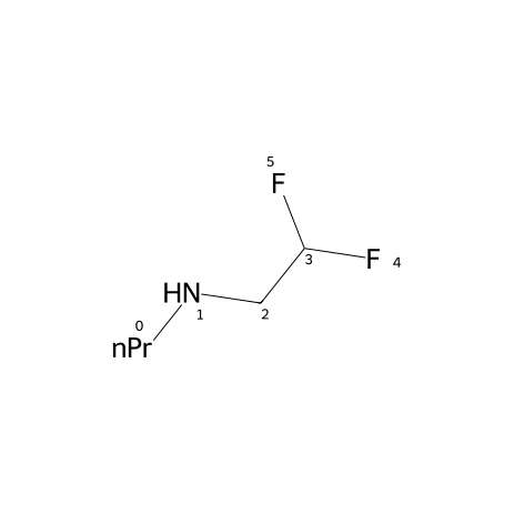 CCCNCC(F)F